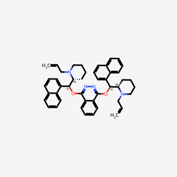 C=CCN1CCCC[C@@H]1[C@@H](Oc1nnc(O[C@@H](c2cccc3ccccc23)[C@H]2CCCCN2CC=C)c2ccccc12)c1cccc2ccccc12